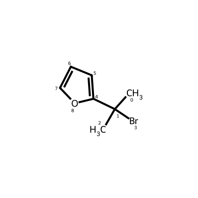 CC(C)(Br)c1ccco1